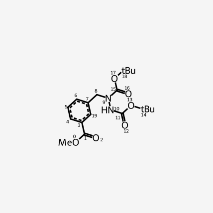 COC(=O)c1cccc(CN(NC(=O)OC(C)(C)C)C(=O)OC(C)(C)C)c1